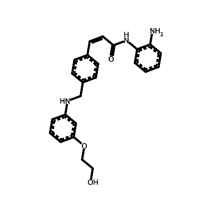 Nc1ccccc1NC(=O)/C=C\c1ccc(CNc2cccc(OCCO)c2)cc1